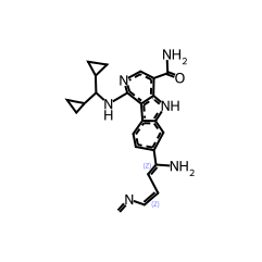 C=N/C=C\C=C(/N)c1ccc2c(c1)[nH]c1c(C(N)=O)cnc(NC(C3CC3)C3CC3)c12